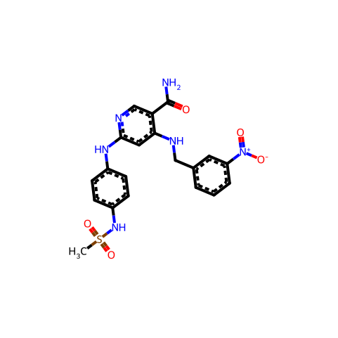 CS(=O)(=O)Nc1ccc(Nc2cc(NCc3cccc([N+](=O)[O-])c3)c(C(N)=O)cn2)cc1